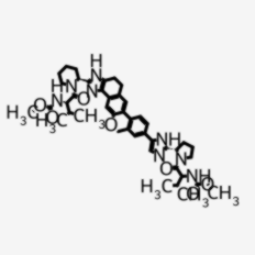 COC(=O)NC(C(=O)N1CCC[C@H]1c1ncc(-c2ccc3c(c2)COc2cc4c(cc2-3)CCc2[nH]c([C@@H]3CCCCN3C(=O)[C@@H](NC(=O)OC)C(C)C)nc2-4)[nH]1)C(C)C